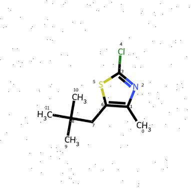 Cc1nc(Cl)sc1CC(C)(C)C